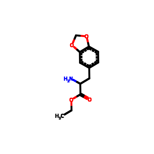 CCOC(=O)C(N)Cc1ccc2c(c1)OCO2